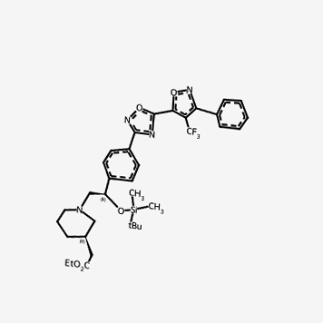 CCOC(=O)C[C@H]1CCCN(C[C@H](O[Si](C)(C)C(C)(C)C)c2ccc(-c3noc(-c4onc(-c5ccccc5)c4C(F)(F)F)n3)cc2)C1